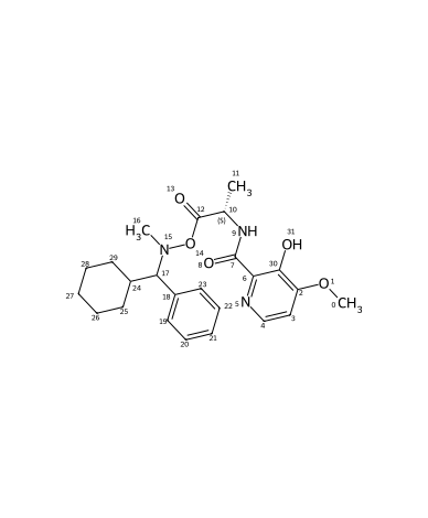 COc1ccnc(C(=O)N[C@@H](C)C(=O)ON(C)C(c2ccccc2)C2CCCCC2)c1O